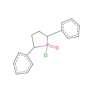 O=P1(Cl)C(c2ccccc2)CCC1c1ccccc1